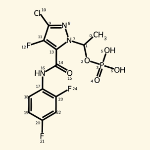 CC(OP(=O)(O)O)n1nc(Cl)c(F)c1C(=O)Nc1ccc(F)cc1F